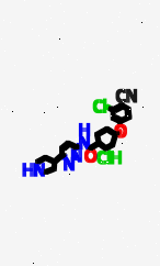 Cl.N#Cc1ccc(OC2CCC(C(=O)Nc3ccc(C4CCNCC4)nn3)CC2)cc1Cl